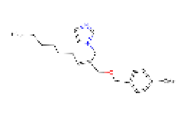 COc1ccc(COCC(=CCCCCCC(=O)O)Cn2ccnc2)cc1